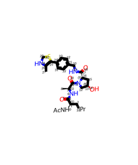 CC(=O)N[C@@H](CC(C)C)C(=O)N[C@@H](C)C(=O)N1C[C@H](O)C[C@H]1C(=O)NCc1ccc(C2=C(C)NCS2)cc1